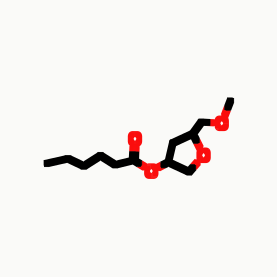 CCCCCC(=O)OC1COC(COC)C1